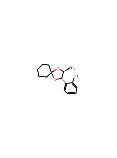 [CH2][C@@H]1OC2(CCCCC2)O[C@H]1c1ccccc1C